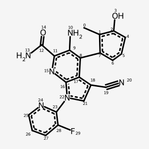 Cc1c(O)cccc1-c1c(N)c(C(N)=O)nc2c1c(C#N)cn2-c1ncccc1F